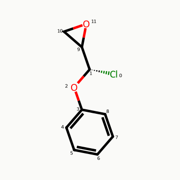 Cl[C@H](Oc1ccccc1)C1CO1